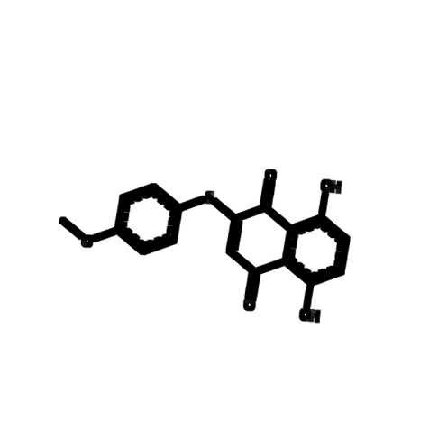 COc1ccc(SC2=CC(=O)c3c(O)ccc(O)c3C2=O)cc1